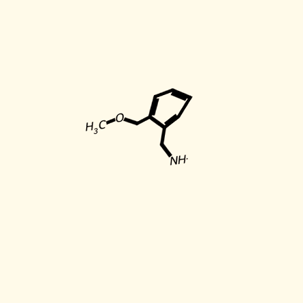 COCc1ccccc1C[NH]